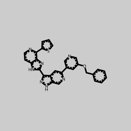 c1ccc(COc2cncc(-c3cc4c(-c5nc6c(-c7cccs7)nccc6[nH]5)n[nH]c4cn3)c2)cc1